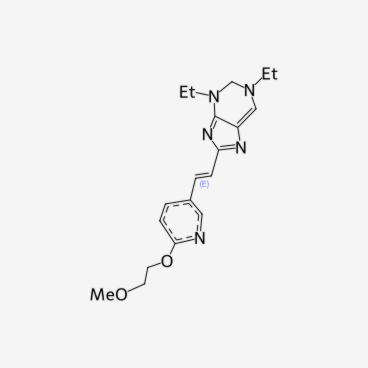 CCN1C=C2N=C(/C=C/c3ccc(OCCOC)nc3)N=C2N(CC)C1